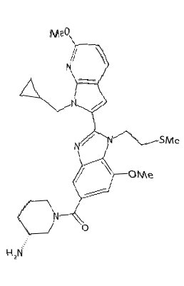 COc1ccc2cc(-c3nc4cc(C(=O)N5CCC[C@@H](N)C5)cc(OC)c4n3CCSC)n(CC3CC3)c2n1